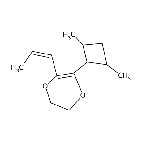 C/C=C\C1=C(C2C(C)CC2C)OCCO1